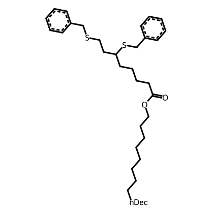 CCCCCCCCCCCCCCCCCCOC(=O)CCCCC(CCSCc1ccccc1)SCc1ccccc1